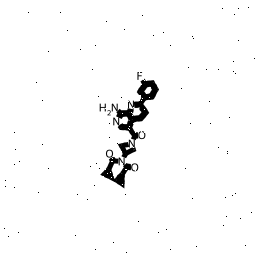 Nc1ncc(C(=O)N2CC(N(C(=O)C3CC3)C(=O)C3CC3)C2)c2ccc(-c3cccc(F)c3)nc12